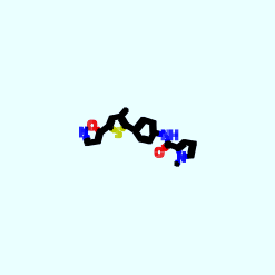 Cc1cc(-c2ccno2)sc1-c1ccc(NC(=O)c2cccn2C)cc1